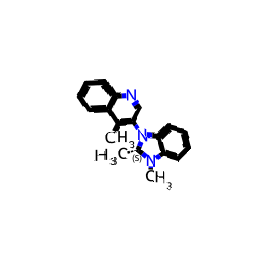 Cc1c(N2c3ccccc3N(C)[C@@H]2C)cnc2ccccc12